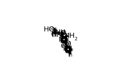 Nc1cc(S(=O)(=O)c2ccc(F)cc2)cnc1C(=O)NNC(=O)CO